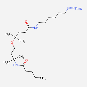 CCCCC(=O)NC(C)(C)CCOC(C)(C)CCC(=O)NCCCCCCN=[N+]=[N-]